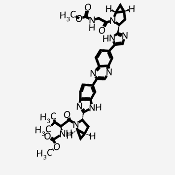 COC(=O)NCC(=O)N1[C@@H]2C[C@@H]2C[C@H]1c1ncc(-c2ccc3nc(-c4ccc5nc([C@@H]6C[C@H]7C[C@H]7N6C(=O)[C@@H](NC(=O)OC)C(C)C)[nH]c5c4)cnc3c2)[nH]1